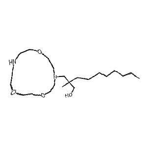 CCCCCCCCC(C)(CO)CN1CCOCCNCCOCCOCC1